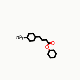 CCCC1CCC(CCCC(=O)OC2CCCCC2)CC1